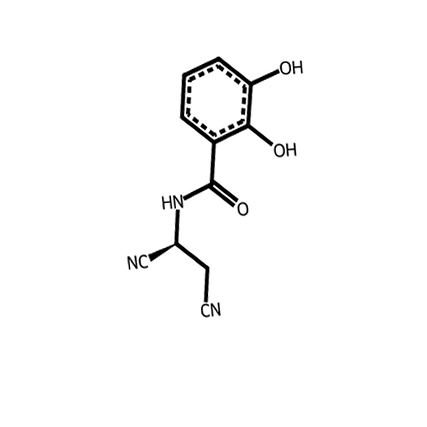 N#CC[C@@H](C#N)NC(=O)c1cccc(O)c1O